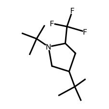 CC(C)(C)C1CC(C(F)(F)F)N(C(C)(C)C)C1